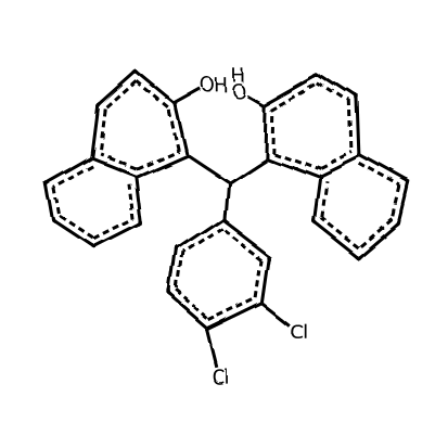 Oc1ccc2ccccc2c1C(c1ccc(Cl)c(Cl)c1)c1c(O)ccc2ccccc12